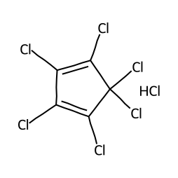 Cl.ClC1=C(Cl)C(Cl)(Cl)C(Cl)=C1Cl